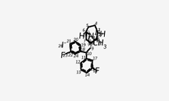 C[N+]1(C)[C@@H]2CC[C@H]1C[C@@H](CC(c1cccc(F)c1)c1cccc(F)c1)C2.[I-]